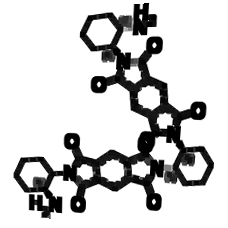 N[C@H]1CCCCC1n1c(=O)c2cc3c(=O)n([C@H]4CCCC[C@@H]4n4c(=O)c5cc6c(=O)n([C@H]7CCCC[C@@H]7N)c(=O)c6cc5c4=O)c(=O)c3cc2c1=O